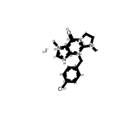 CN1CC[n+]2c1n(Cc1ccc(Cl)cc1)c1ncn(C)c1c2=O.[I-]